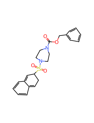 O=C(OCc1ccccc1)N1CCN(S(=O)(=O)C2C=c3ccccc3=CC2)CC1